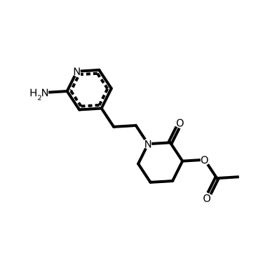 CC(=O)OC1CCCN(CCc2ccnc(N)c2)C1=O